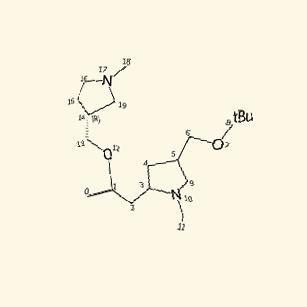 CC(CC1CC(COC(C)(C)C)CN1C)OC[C@@H]1CCN(C)C1